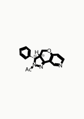 CC(=O)N1N=C2c3cnccc3OC[C@H]2[C@H]1c1ccccc1